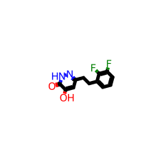 O=c1[nH]nc(CCc2cccc(F)c2F)cc1O